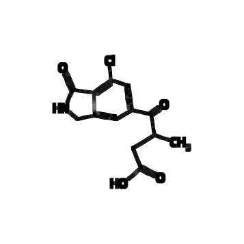 CC(CC(=O)O)C(=O)c1cc(Cl)c2c(c1)CNC2=O